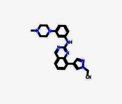 CN1CCN(c2cccc(Nc3ncc4cccc(-c5cnn(CC#N)c5)c4n3)c2)CC1